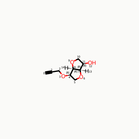 C#CCO[C@@H]1CO[C@H]2[C@@H]1OC[C@H]2O